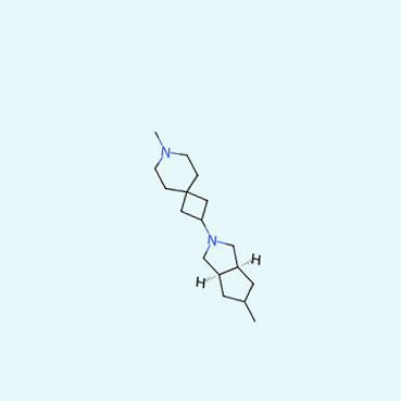 CC1C[C@@H]2CN(C3CC4(CCN(C)CC4)C3)C[C@@H]2C1